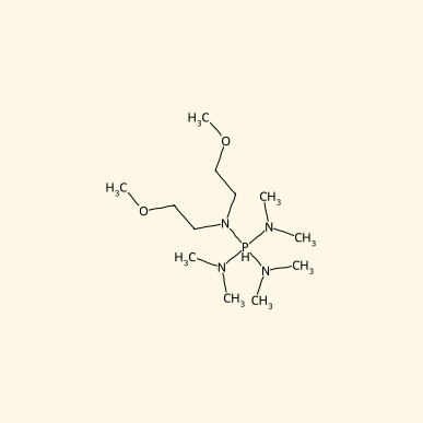 COCCN(CCOC)[PH](N(C)C)(N(C)C)N(C)C